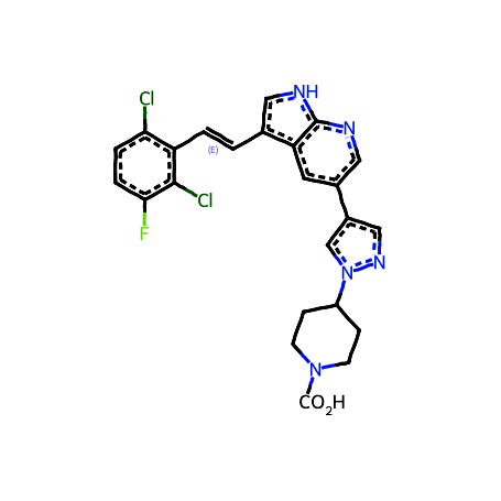 O=C(O)N1CCC(n2cc(-c3cnc4[nH]cc(/C=C/c5c(Cl)ccc(F)c5Cl)c4c3)cn2)CC1